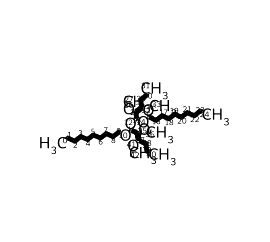 CCCCCCCCCCOC(OC(OCCCCCCCCCC)C(OC)=C(CCC)OC)C(OC)=C(CCC)OC